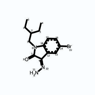 CCC(CC)CN1C(=O)/C(=N\N)c2cc(Br)ccc21